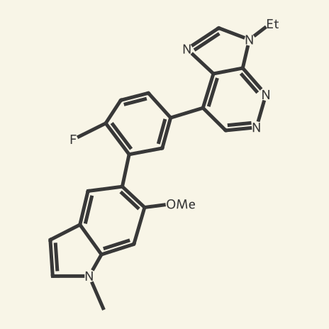 CCn1cnc2c(-c3ccc(F)c(-c4cc5ccn(C)c5cc4OC)c3)cnnc21